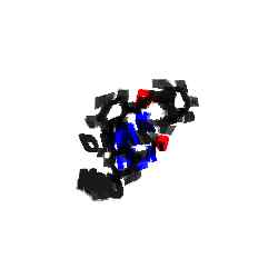 COc1ccc(NC(C(N)=O)N2Cc3ccccc3OC2c2cccc([N+](=O)[O-])c2)cc1